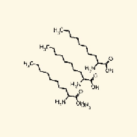 CCCCCCCCC(N)C(=O)O.CCCCCCCCC(N)C(=O)O.CCCCCCCCC(N)C(=O)O.O